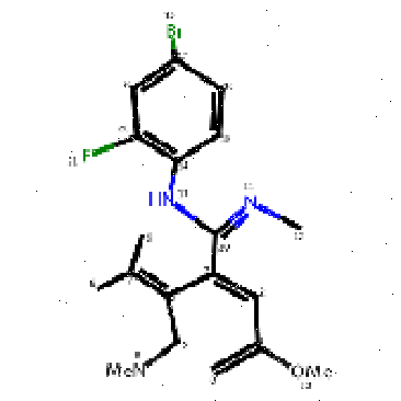 C=C(/C=C(C(CNC)=C(C)C)/C(=N\C)Nc1ccc(Br)cc1F)OC